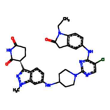 CCN1C(=O)Cc2cc(Nc3nc(N4CCC(Nc5ccc6c([C@H]7CCC(=O)NC7=O)nn(C)c6c5)CC4)ncc3Cl)ccc21